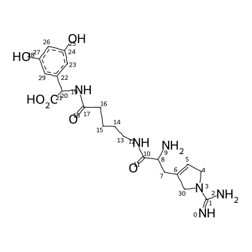 N=C(N)N1CC=C(CC(N)C(=O)NCCCCC(=O)NC(C(=O)O)c2cc(O)cc(O)c2)C1